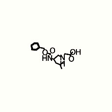 CC(C)CC(CNCC(=O)O)NC(=O)OCc1ccccc1